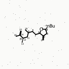 C=C1C[C@H](CCCC)OC1CCC(C)C[C@@H](C)C(=C)C